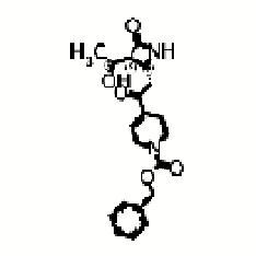 C[C@@H](O)[C@H]1C(=O)N[C@@H]1CC(=O)C1=CCN(C(=O)OCc2ccccc2)CC1